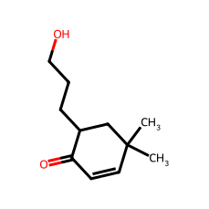 CC1(C)C=CC(=O)C(CCCO)C1